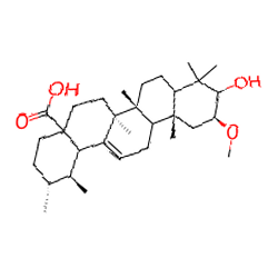 CO[C@H]1C[C@@]2(C)C(CC[C@]3(C)C2CC=C2C4[C@@H](C)[C@H](C)CCC4(C(=O)O)CC[C@]23C)C(C)(C)C1O